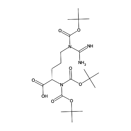 CC(C)(C)OC(=O)N(CCC[C@@H](C(=O)O)N(C(=O)OC(C)(C)C)C(=O)OC(C)(C)C)C(=N)N